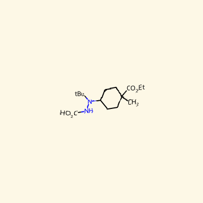 CCOC(=O)C1(C)CCC(N(NC(=O)O)C(C)(C)C)CC1